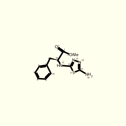 COC(=O)[C@H](Cc1ccccc1)Nc1nnc(N)s1